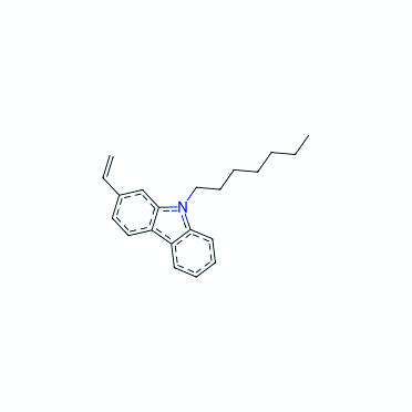 C=Cc1ccc2c3ccccc3n(CCCCCCC)c2c1